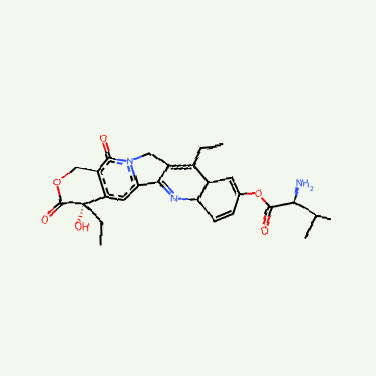 CCC1=C2Cn3c(cc4c(c3=O)COC(=O)[C@]4(O)CC)C2=NC2C=CC(OC(=O)[C@@H](N)C(C)C)=CC12